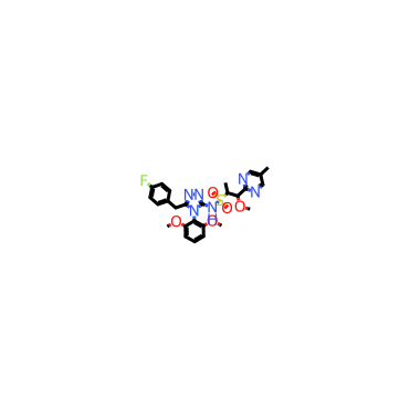 COc1cccc(OC)c1-n1c(Cc2ccc(F)cc2)nnc1NS(=O)(=O)C(C)C(OC)c1ncc(C)cn1